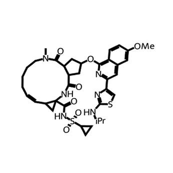 COc1ccc2c(OC3CC4C(=O)NC5(C(=O)NS(=O)(=O)C6CC6)CC5C=CCCCCN(C)C(=O)C4C3)nc(-c3csc(NC(C)C)n3)cc2c1